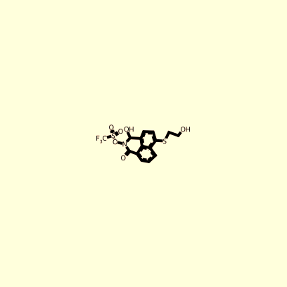 O=C1c2cccc3c(SCCO)ccc(c23)C(O)N1OS(=O)(=O)C(F)(F)F